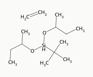 C=C.CCC(C)O[SiH](OC(C)CC)C(C)(C)C